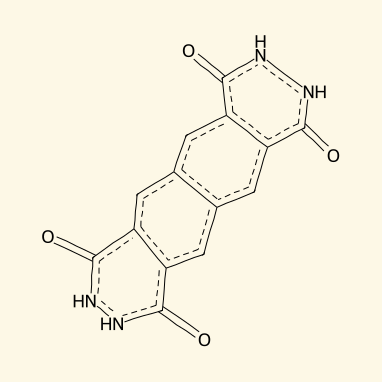 O=c1[nH][nH]c(=O)c2cc3cc4c(=O)[nH][nH]c(=O)c4cc3cc12